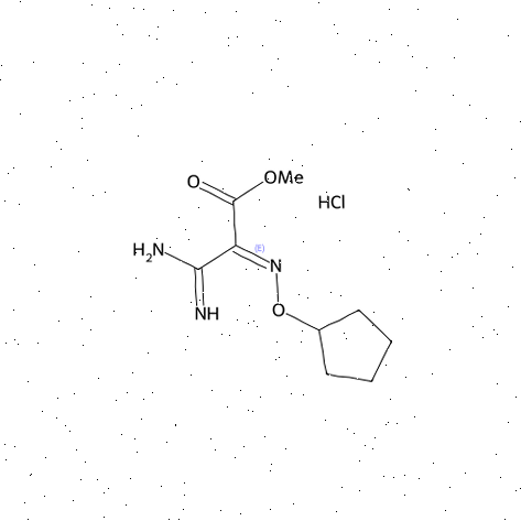 COC(=O)/C(=N/OC1CCCC1)C(=N)N.Cl